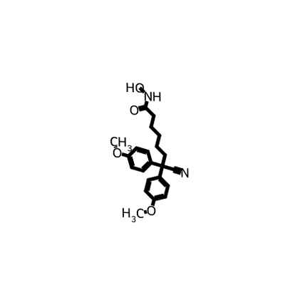 COc1ccc(C(C#N)(CCCCCC(=O)NO)c2ccc(OC)cc2)cc1